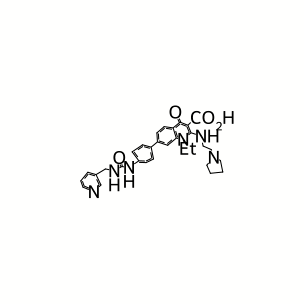 CCn1c(NCCN2CCCC2)c(C(=O)O)c(=O)c2ccc(-c3ccc(NC(=O)NCc4cccnc4)cc3)cc21